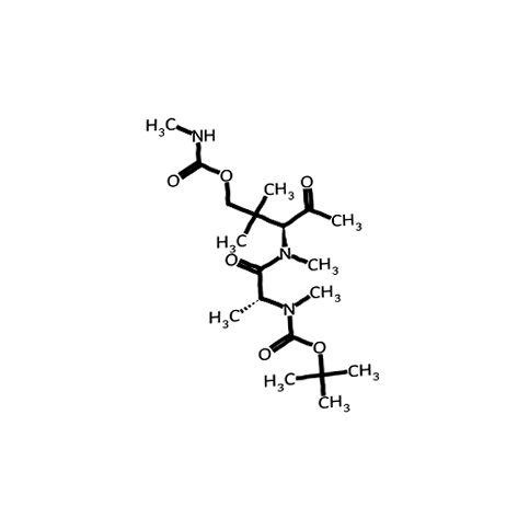 CNC(=O)OCC(C)(C)[C@@H](C(C)=O)N(C)C(=O)[C@@H](C)N(C)C(=O)OC(C)(C)C